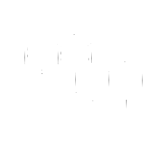 CC1C=C2C(=CCCC2I)c2ccc3ccccc3c21